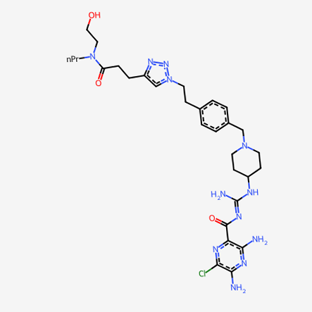 CCCN(CCO)C(=O)CCc1cn(CCc2ccc(CN3CCC(N/C(N)=N/C(=O)c4nc(Cl)c(N)nc4N)CC3)cc2)nn1